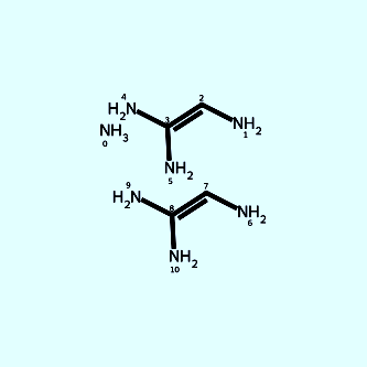 N.NC=C(N)N.NC=C(N)N